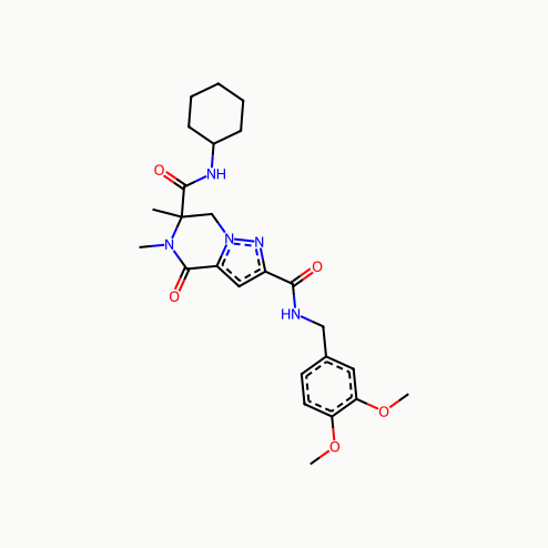 COc1ccc(CNC(=O)c2cc3n(n2)CC(C)(C(=O)NC2CCCCC2)N(C)C3=O)cc1OC